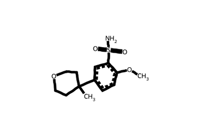 COc1ccc(C2(C)CCOCC2)cc1S(N)(=O)=O